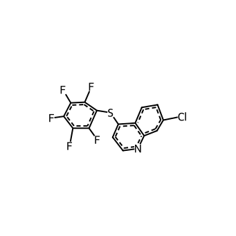 Fc1c(F)c(F)c(Sc2ccnc3cc(Cl)ccc23)c(F)c1F